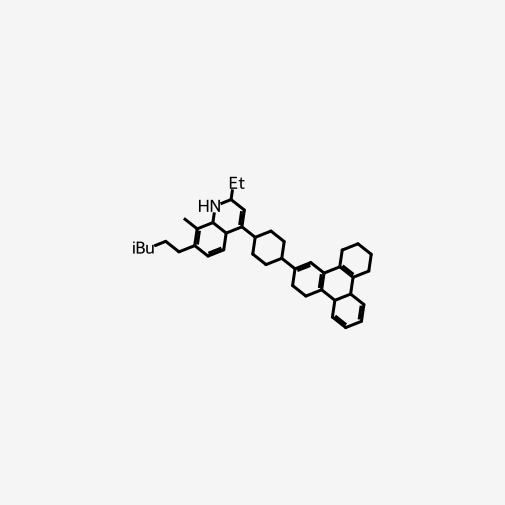 CCC(C)CCC1=C(C)C2NC(CC)C=C(C3CCC(C4=CC5=C(CC4)C4C=CC=CC4C4=C5CCCC4)CC3)C2C=C1